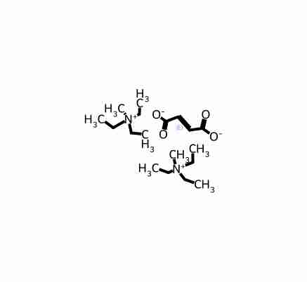 CC[N+](C)(CC)CC.CC[N+](C)(CC)CC.O=C([O-])/C=C/C(=O)[O-]